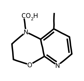 Cc1ccnc2c1N(C(=O)O)CCO2